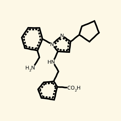 NCc1ccccc1-n1nc(C2CCCC2)cc1NCc1ccccc1C(=O)O